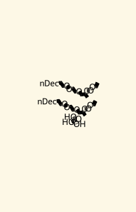 C=COOOC(C)COCCOOCCCCCCCCCCCC.C=COOOC(C)COCCOOCCCCCCCCCCCC.O=P(O)(O)O